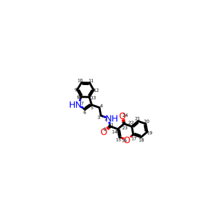 O=C(NCCc1c[nH]c2ccccc12)c1coc2ccccc2c1=O